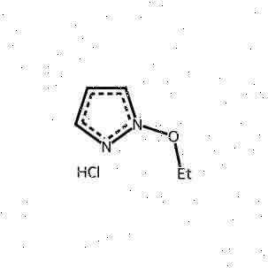 CCOn1cccn1.Cl